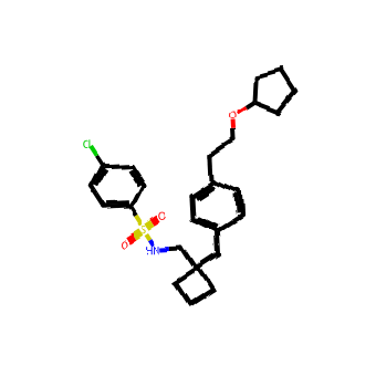 O=S(=O)(NCC1(Cc2ccc(CCOC3CCCC3)cc2)CCC1)c1ccc(Cl)cc1